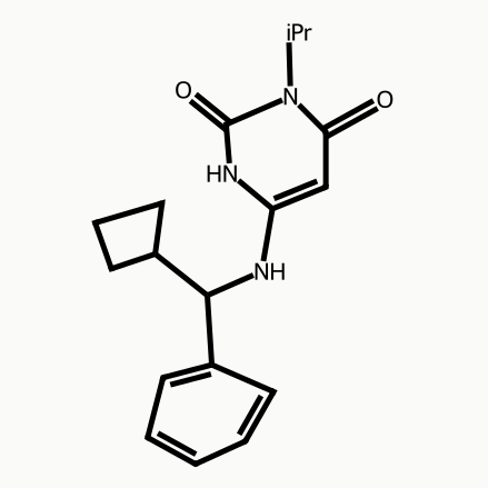 CC(C)n1c(=O)cc(NC(c2ccccc2)C2CCC2)[nH]c1=O